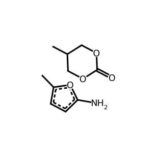 CC1COC(=O)OC1.Cc1ccc(N)o1